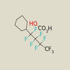 FC(F)(F)C(F)(F)C(F)(F)C(F)(F)C1CCCCC1.O=C(O)O